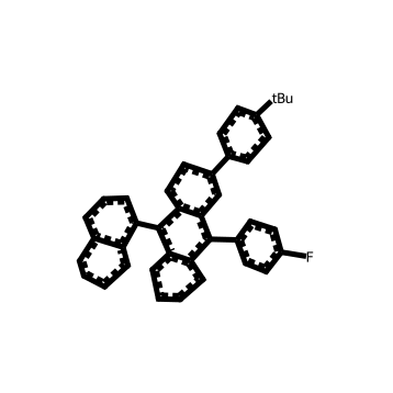 CC(C)(C)c1ccc(-c2ccc3c(-c4cccc5ccccc45)c4ccccc4c(-c4ccc(F)cc4)c3c2)cc1